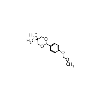 COCOc1ccc(C2OCC(C)(C)CO2)cc1